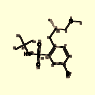 COC[C@@H](C)Cc1ccc(Br)cc1S(=O)(=O)NC(C)(C)C